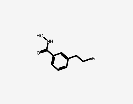 CC(C)CCc1cccc(C(=O)NO)c1